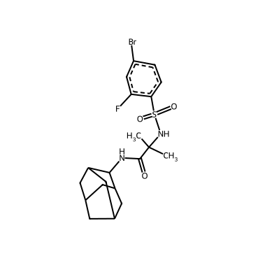 CC(C)(NS(=O)(=O)c1ccc(Br)cc1F)C(=O)NC1C2CC3CC(C2)CC1C3